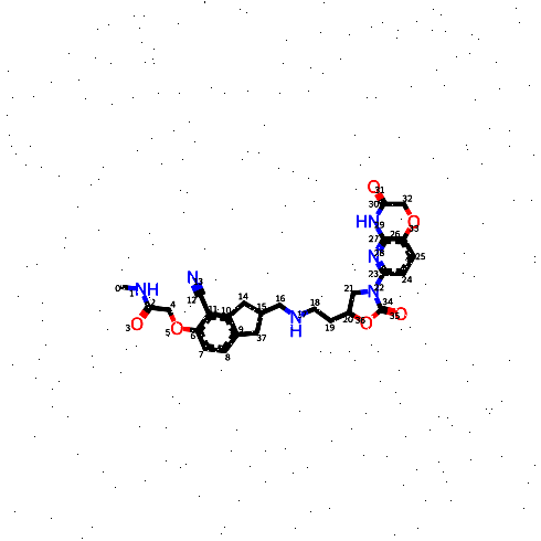 CNC(=O)COc1ccc2c(c1C#N)CC(CNCCC1CN(c3ccc4c(n3)NC(=O)CO4)C(=O)O1)C2